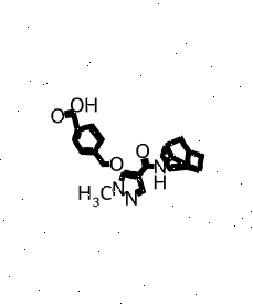 Cn1ncc(C(=O)NC2C3CC=C4C(C3)CC42)c1OCc1ccc(C(=O)O)cc1